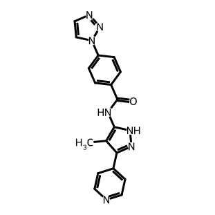 Cc1c(-c2ccncc2)n[nH]c1NC(=O)c1ccc(-n2ccnn2)cc1